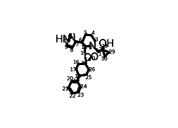 O=C(N1CCCC(c2cc[nH]n2)C1COC1CCC(c2ccccc2)CC1)C1(O)CC1